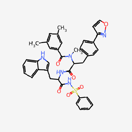 Cc1cc(C)cc(C(=O)N(C)C(Cc2ccc(-c3ccon3)cc2)C(=O)NC(Cc2c[nH]c3ccccc23)C(=O)NS(=O)(=O)c2ccccc2)c1